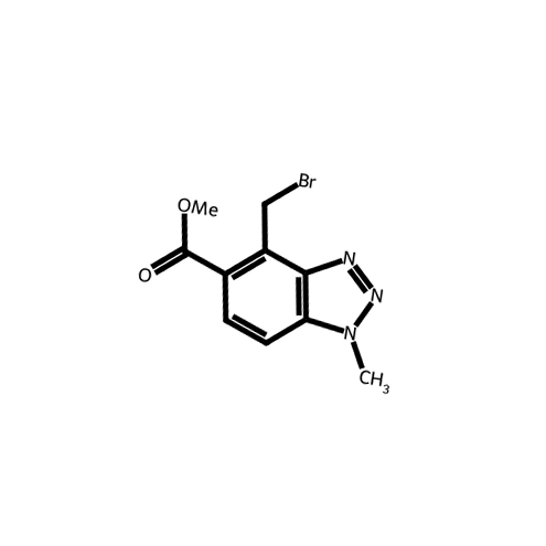 COC(=O)c1ccc2c(nnn2C)c1CBr